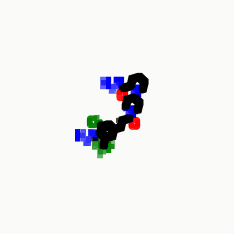 NC(=O)C1CCCCN1C1CCN(C(=O)[CH]Cc2cc(Cl)c(N)c(C(F)(F)F)c2)CC1